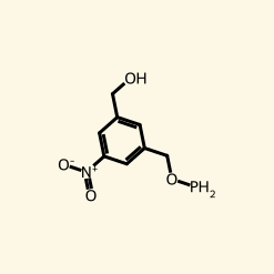 O=[N+]([O-])c1cc(CO)cc(COP)c1